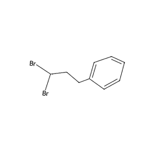 Br[C](Br)CCc1ccccc1